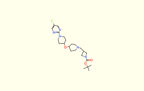 CC(C)(C)OC(=O)N1CC(CN2CCC(OC3CCN(c4ncc(F)cn4)CC3)CC2)C1